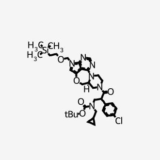 CC(C)(C)OC(=O)N(CC1CC1)CC(C(=O)N1CCN2c3ncnc4c3c(cn4COCC[Si](C)(C)C)OC[C@@H]2C1)c1ccc(Cl)cc1